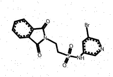 O=C1c2ccccc2C(=O)N1CCS(=O)(=O)Nc1cncc(Br)c1